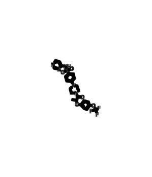 CC(Oc1ccc(OC(F)(F)F)cc1)C(=O)N1CCN(c2ccc(S(=O)(=O)Nc3ccncn3)cc2)CC1